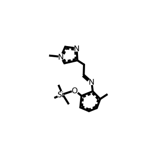 Cc1cccc(O[Si](C)(C)C)c1N=CCc1cn(C)cn1